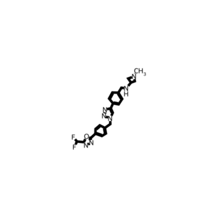 CN1CC(NCc2ccc(-c3cn(Cc4ccc(-c5nnc(C(F)F)o5)cc4)nn3)cc2)C1